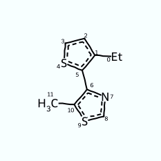 CCc1ccsc1-c1ncsc1C